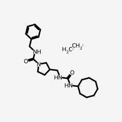 O=C(NCC1CCN(C(=O)NCc2ccccc2)C1)N[C]1CCCCCCC1.[CH2].[CH2]